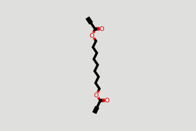 C#CC(=O)OCCCCCCCCCOC(=O)C#C